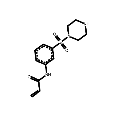 C=CC(=O)Nc1cccc(S(=O)(=O)N2CCNCC2)c1